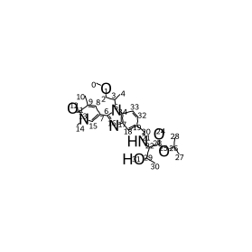 COCC(C)n1c(-c2cc(C)c(=O)n(C)c2)nc2cc(CNC(C(=O)OC(C)C)C(C)O)ccc21